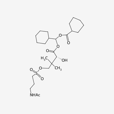 CC(=O)NCCCS(=O)(=O)OCC(C)(C)[C@@H](O)C(=O)OC(OC(=O)C1CCCCC1)C1CCCCC1